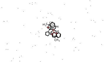 C[C@@H]1C[C@@H]2C[C@H](C1)C[C@@H](N1[C@@H]3CCC[C@H]1C[C@@H](n1c(N4CCC[C@H]4C(=O)OC(C)(C)C)nc4ccccc41)C3)C2